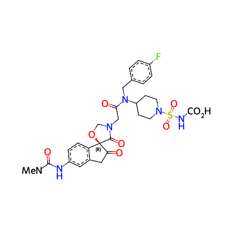 CNC(=O)Nc1ccc2c(c1)CC(=O)[C@]21OCN(CC(=O)N(Cc2ccc(F)cc2)C2CCN(S(=O)(=O)NC(=O)O)CC2)C1=O